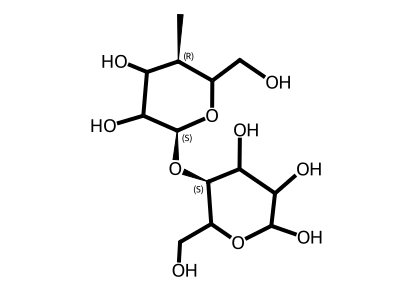 C[C@H]1C(CO)O[C@@H](O[C@@H]2C(CO)OC(O)C(O)C2O)C(O)C1O